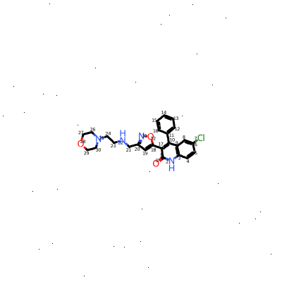 O=c1[nH]c2ccc(Cl)cc2c(-c2ccccc2)c1-c1cc(CNCCN2CCOCC2)no1